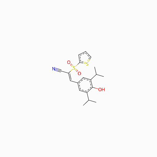 CC(C)c1cc(C=C(C#N)S(=O)(=O)c2cccs2)cc(C(C)C)c1O